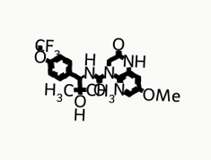 COc1cnc2c(c1)NC(=O)CN2C(=O)N[C@H](c1ccc(OC(F)(F)F)cc1)C(C)(C)O